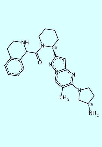 Cc1cn2nc([C@@H]3CCCCN3C(=O)C3NCCc4ccccc43)cc2nc1N1CC[C@H](N)C1